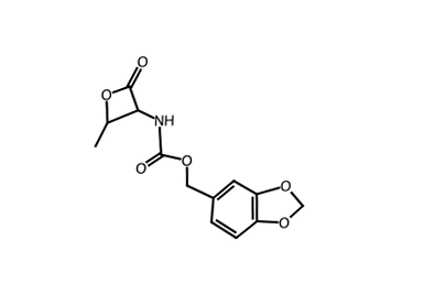 CC1OC(=O)C1NC(=O)OCc1ccc2c(c1)OCO2